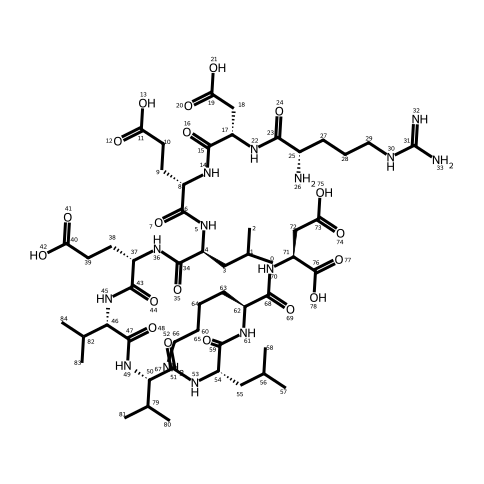 CC(C)C[C@H](NC(=O)[C@H](CCC(=O)O)NC(=O)[C@H](CC(=O)O)NC(=O)[C@@H](N)CCCNC(=N)N)C(=O)N[C@@H](CCC(=O)O)C(=O)N[C@H](C(=O)N[C@H](C(=O)N[C@@H](CC(C)C)C(=O)N[C@@H](CCCCN)C(=O)N[C@@H](CC(=O)O)C(=O)O)C(C)C)C(C)C